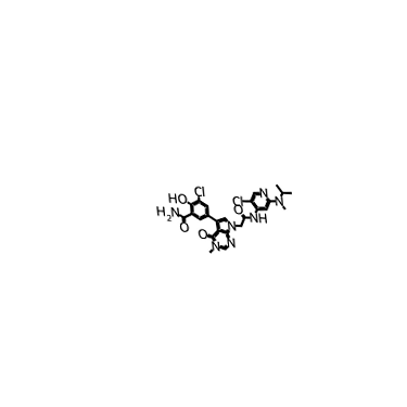 CC(C)N(C)c1cc(NC(=O)Cn2cc(-c3cc(Cl)c(O)c(C(N)=O)c3)c3c(=O)n(C)cnc32)c(Cl)cn1